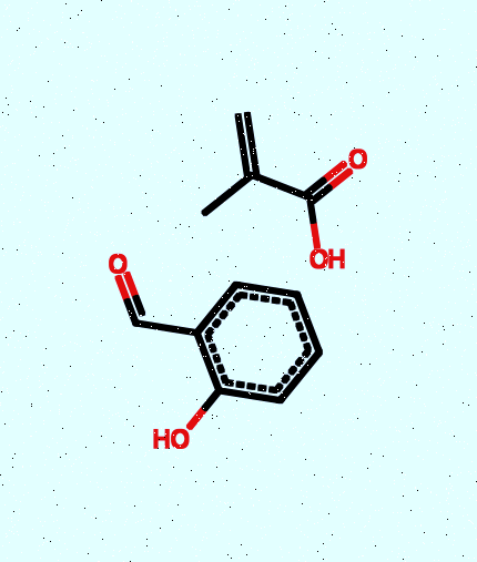 C=C(C)C(=O)O.O=Cc1ccccc1O